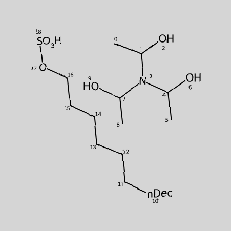 CC(O)N(C(C)O)C(C)O.CCCCCCCCCCCCCCCCOS(=O)(=O)O